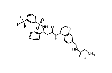 CCC(C)NCc1ccc2c(c1)OCCC2NC(=O)CC(NS(=O)(=O)c1cccc(C(F)(F)F)c1)c1ccccc1